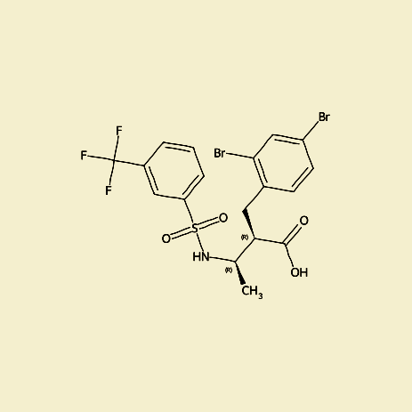 C[C@@H](NS(=O)(=O)c1cccc(C(F)(F)F)c1)[C@@H](Cc1ccc(Br)cc1Br)C(=O)O